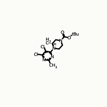 Cc1nc(Cl)c(Cl)c(N2CCN(C(=O)OC(C)(C)C)C[C@H]2C)n1